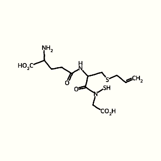 C=CCSCC(NC(=O)CCC(N)C(=O)O)C(=O)N(S)CC(=O)O